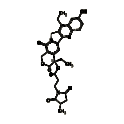 CCc1c2c(nc3ccc(O)cc13)-c1cc3c(c(=O)n1C2)COC(=O)[C@@]3(CC)OC(=O)CCN1C(=O)CC(C)C1=O